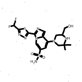 CC1(C)CN(c2cc(S(N)(=O)=O)cn3c(-c4nnc(C(F)F)s4)ncc23)CC(CO)N1